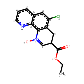 CCOC(=O)C1C=[N+]([O-])c2c(c(Cl)cc3cccnc23)C1